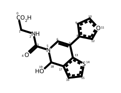 O=C(O)CNC(=O)N1C=C(c2ccoc2)c2sccc2C1O